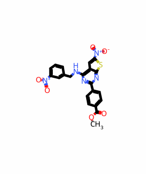 COC(=O)c1ccc(-c2nc(NCc3cccc([N+](=O)[O-])c3)c3cc([N+](=O)[O-])sc3n2)cc1